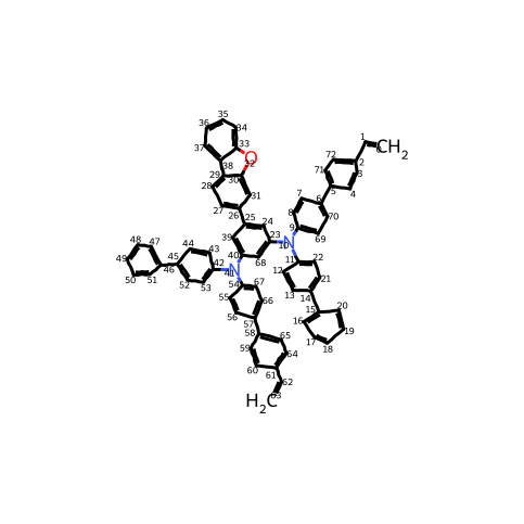 C=Cc1ccc(-c2ccc(N(c3ccc(-c4ccccc4)cc3)c3cc(-c4ccc5c(c4)oc4ccccc45)cc(N(c4ccc(-c5ccccc5)cc4)c4ccc(-c5ccc(C=C)cc5)cc4)c3)cc2)cc1